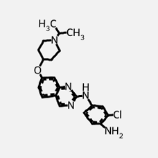 CC(C)N1CCC(Oc2ccc3cnc(Nc4ccc(N)c(Cl)c4)nc3c2)CC1